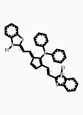 CCN1/C(=C/C=C2\C=CC(/C=C/c3sc4ccccc4[n+]3CC)=C2N(c2ccccc2)c2ccccc2)Sc2ccccc21